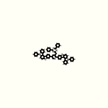 c1ccc(-c2nc(Cc3cc(-c4ccc5c(c4)sc4ccc6c(c7ccccc7n6-c6ccccc6)c45)cnc3-c3ccc4c(c3)sc3ccc5c(c6ccccc6n5-c5ccccc5)c34)nc(-c3ccccc3)n2)cc1